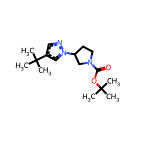 CC(C)(C)OC(=O)N1CCC(n2cc(C(C)(C)C)cn2)C1